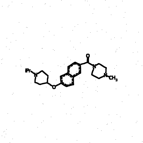 CC(C)N1CCC(Oc2ccc3cc(C(=O)N4CCN(C)CC4)ccc3c2)CC1